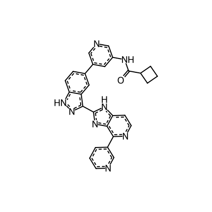 O=C(Nc1cncc(-c2ccc3[nH]nc(-c4nc5c(-c6cccnc6)nccc5[nH]4)c3c2)c1)C1CCC1